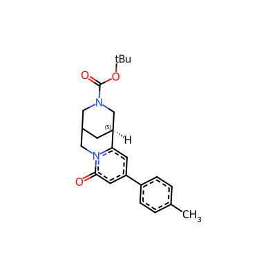 Cc1ccc(-c2cc3n(c(=O)c2)CC2C[C@H]3CN(C(=O)OC(C)(C)C)C2)cc1